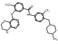 Cc1ccc(C(=O)Nc2ccc(CN3CCN(C)CC3)c(C(F)(F)F)c2)cc1Oc1ncnc2c1OCCN2